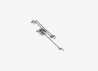 CCCCCCCCCCCCCCCCCCN.CCCCCCCCCCCCCCCCCCN.CCCCCCCCCCCCCCCCCCN.OB(O)[SH]=P(O)(O)O